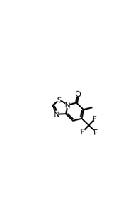 Cc1c(C(F)(F)F)cc2ncsn2c1=O